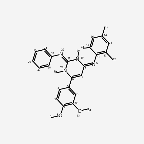 COc1ccc(-c2c/c(=N/c3c(C)cc(C)cc3C)n(C)/c(=N/c3ccccc3)n2C)cc1OC